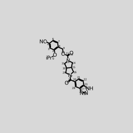 CC(C)Oc1cc(C#N)ccc1COC(=O)N1CC2CN(C(=O)c3ccc4[nH]nnc4c3)CC2C1